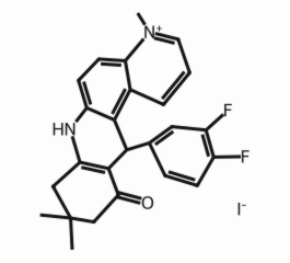 C[n+]1cccc2c3c(ccc21)NC1=C(C(=O)CC(C)(C)C1)C3c1ccc(F)c(F)c1.[I-]